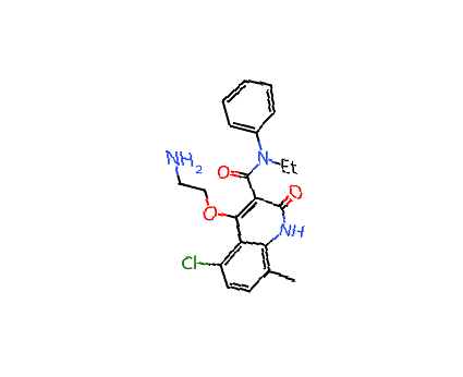 CCN(C(=O)c1c(OCCN)c2c(Cl)ccc(C)c2[nH]c1=O)c1ccccc1